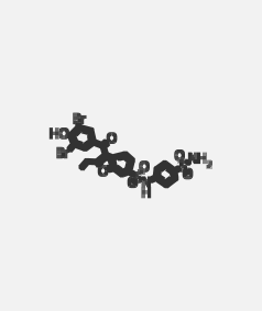 CCc1oc2cc(S(=O)(=O)Nc3ccc(S(N)(=O)=O)cc3)ccc2c1C(=O)c1cc(Br)c(O)c(Br)c1